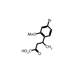 COc1cc(Br)ccc1C(C)CC(=O)C(=O)O